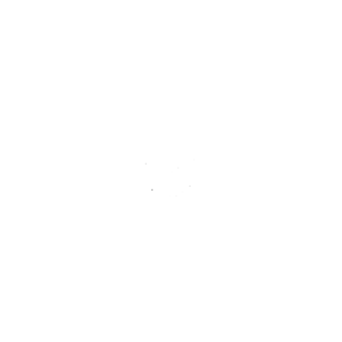 CC(=O)CC(C)=O.CC(=O)CC(C)=O.[Zn]